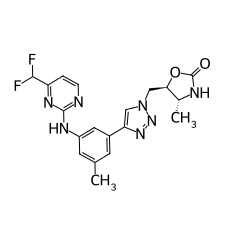 Cc1cc(Nc2nccc(C(F)F)n2)cc(-c2cn(C[C@H]3OC(=O)N[C@@H]3C)nn2)c1